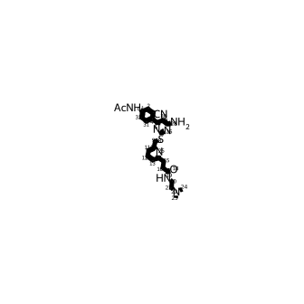 CC(=O)Nc1ccc(-c2nc(SCc3cccc(CCC(=O)NCCN(C)C)n3)nc(N)c2C#N)cc1